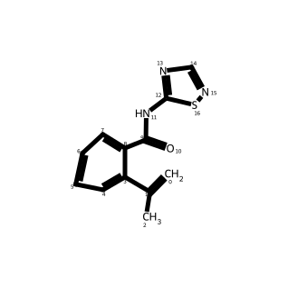 C=C(C)c1ccccc1C(=O)Nc1ncns1